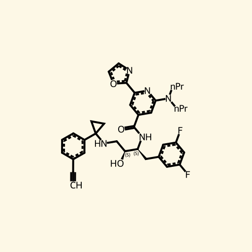 C#Cc1cccc(C2(NC[C@H](O)[C@H](Cc3cc(F)cc(F)c3)NC(=O)c3cc(-c4ncco4)nc(N(CCC)CCC)c3)CC2)c1